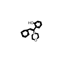 Oc1ccccc1C(=Cc1ccccc1)N1CCOCC1